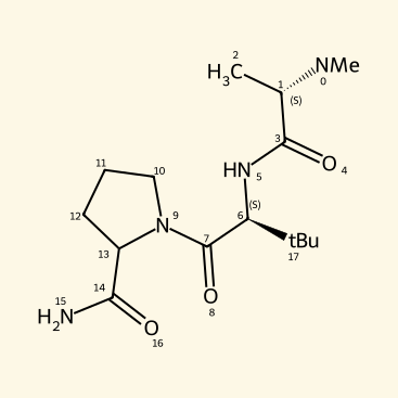 CN[C@@H](C)C(=O)N[C@H](C(=O)N1CCCC1C(N)=O)C(C)(C)C